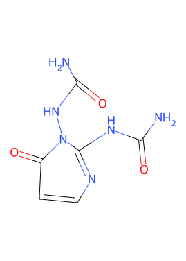 NC(=O)Nc1nccc(=O)n1NC(N)=O